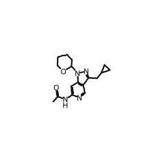 CC(=O)Nc1cc2c(cn1)c(CC1CC1)nn2C1CCCCO1